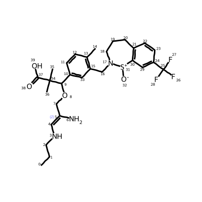 CCCN/C=C(\N)COC(c1ccc(C)c(CN2CCCc3ccc(C(F)(F)F)cc3[S+]2[O-])c1)C(C)(C)C(=O)O